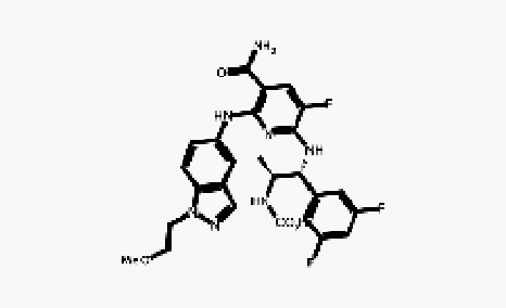 COCCn1ncc2cc(Nc3nc(N[C@H](c4cc(F)cc(F)c4)[C@H](C)NC(=O)O)c(F)cc3C(N)=O)ccc21